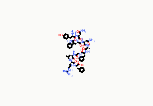 CC(C)C[C@H](NC(=O)CNC(=O)[C@H](Cc1ccccc1)NC(=O)[C@H](C)NC(=O)[C@H](CC(N)=O)NC(=O)[C@H](Cc1c[nH]c2ccccc12)NC(=O)[C@H](CC(N)=O)NC(=O)[C@@H](N)Cc1ccc(O)cc1)C(=O)N[C@@H](CCCNC(=N)N)C(=O)N[C@@H](Cc1ccccc1)C(=O)O